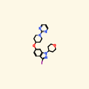 Ic1nn(C2CCOCC2)c2cc(OC3CCN(c4ncccn4)CC3)ccc12